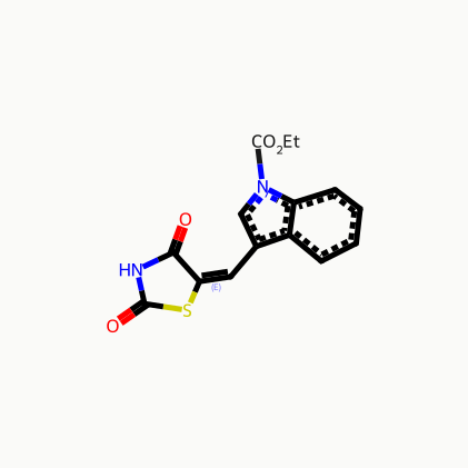 CCOC(=O)n1cc(/C=C2/SC(=O)NC2=O)c2ccccc21